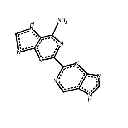 Nc1nc(-c2ncc3[nH]cnc3n2)nc2nc[nH]c12